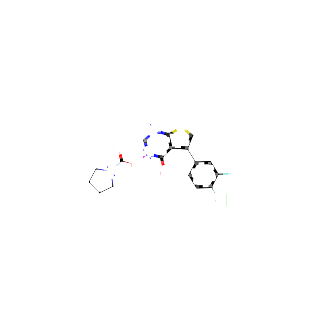 O=C(On1cnc2scc(-c3ccc(Cl)c(F)c3)c2c1=O)N1CCCC1